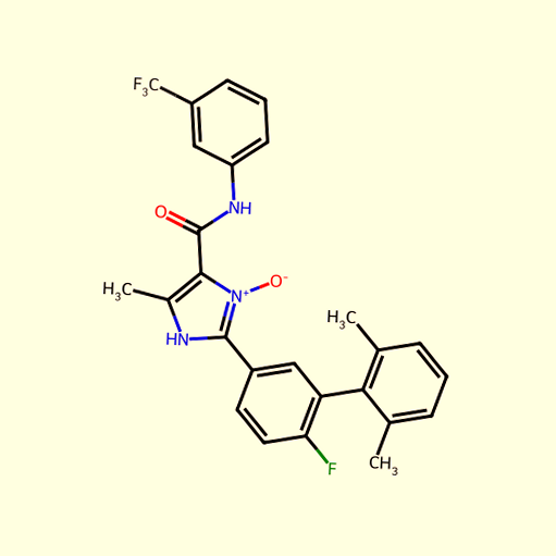 Cc1cccc(C)c1-c1cc(-c2[nH]c(C)c(C(=O)Nc3cccc(C(F)(F)F)c3)[n+]2[O-])ccc1F